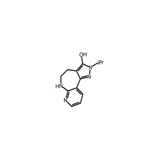 CC(C)n1nc2c(c1O)CCNc1ncccc1-2